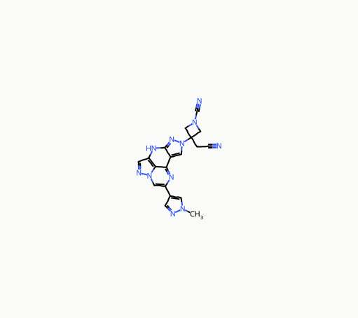 Cn1cc(-c2cn3ncc4c3c(n2)-c2cn(C3(CC#N)CN(C#N)C3)nc2N4)cn1